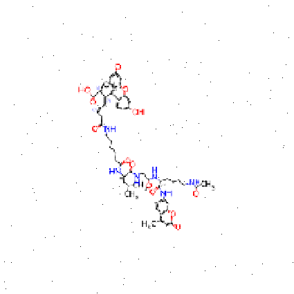 C\C=C(C(=O)O)/C(=C\C=C/CC(=O)NCCCCCC(=O)N[C@H](CC(C)C)C(=O)NCC(=O)N[C@@H](CCCCNC(C)=O)C(=O)Nc1ccc2c(C)cc(=O)oc2c1)c1c2ccc(=O)cc-2oc2cc(O)ccc12